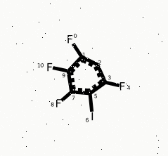 Fc1cc(F)c(I)c(F)c1F